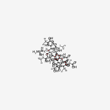 CC(C)C[C@H](NC(=O)[C@H](CCC(=O)O)NC(=O)[C@H](CC(=O)O)NC(=O)[C@H](CCC(=O)O)NC(=O)[C@@H](NC(=O)[C@@H](NC(=O)[C@@H](NC(=O)[C@H](CC(C)C)NC(=O)[C@@H](N)CC(C)C)C(C)C)[C@@H](C)O)C(C)C)C(=O)N[C@@H](CCCNC(=N)N)C(=O)N[C@H](C(=O)O)C(C)C